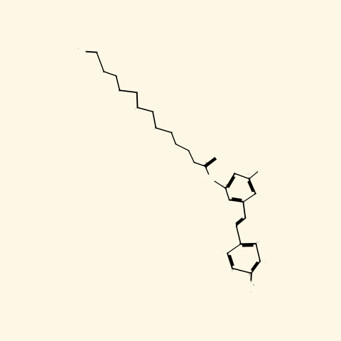 CCCCCCCCCCCCCC(=O)Oc1cc(O)cc(C=Cc2ccc(O)cc2)c1